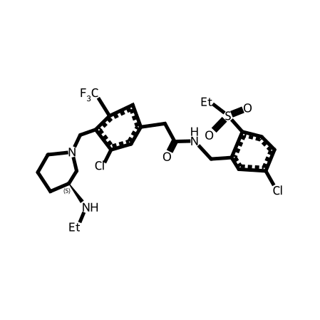 CCN[C@H]1CCCN(Cc2c(Cl)cc(CC(=O)NCc3cc(Cl)ccc3S(=O)(=O)CC)cc2C(F)(F)F)C1